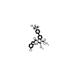 CC(=O)N1c2ccc(-c3ccc(S(C)(=O)=O)cc3)cc2N(C(=O)c2cc3ccc(Cl)cc3[nH]2)C[C@@H]1C